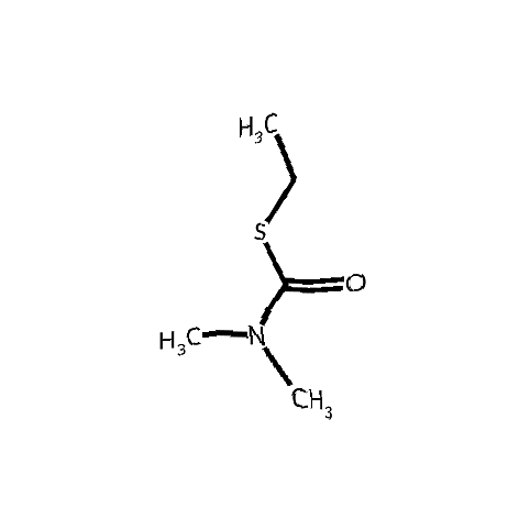 CCSC(=O)N(C)C